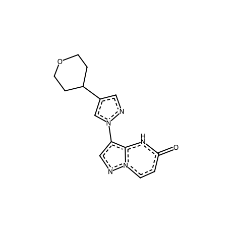 O=c1ccn2ncc(-n3cc(C4CCOCC4)cn3)c2[nH]1